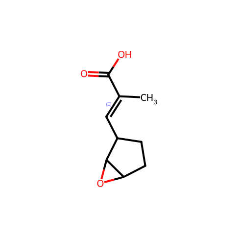 C/C(=C\C1CCC2OC12)C(=O)O